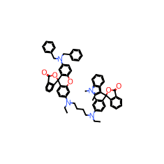 CCN(CCCCN(CC)c1ccc2c(c1)Oc1ccc(N(Cc3ccccc3)Cc3ccccc3)cc1C21OC(=O)c2ccccc21)c1ccc(C2(c3c(C)n(C)c4ccccc34)OC(=O)c3ccccc32)c(C)c1